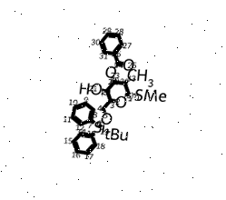 CS[C@@H]1OC(CO[Si](c2ccccc2)(c2ccccc2)C(C)(C)C)[C@@H](O)[C@H](OC(=O)c2ccccc2)C1C